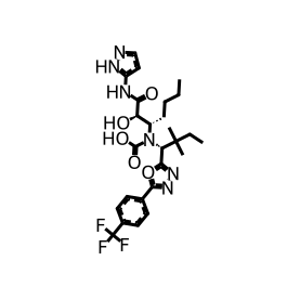 CCCC[C@@H]([C@@H](O)C(=O)Nc1ccn[nH]1)N(C(=O)O)[C@@H](c1nnc(-c2ccc(C(F)(F)F)cc2)o1)C(C)(C)CC